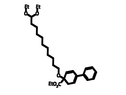 CCOC(=O)C1(OCCCCCCCCCCC(OCC)OCC)C=CC(c2ccccc2)=CC1